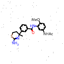 COc1ccc(NC(C)=O)cc1NC(=O)c1cccc(C2(C)CCSC(N)=N2)c1